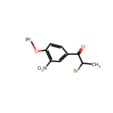 CC(C)Oc1ccc(C(=O)C(C)Br)cc1[N+](=O)[O-]